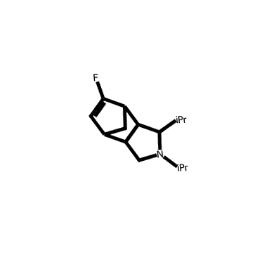 CC(C)C1C2C3CC(C=C3F)C2CN1C(C)C